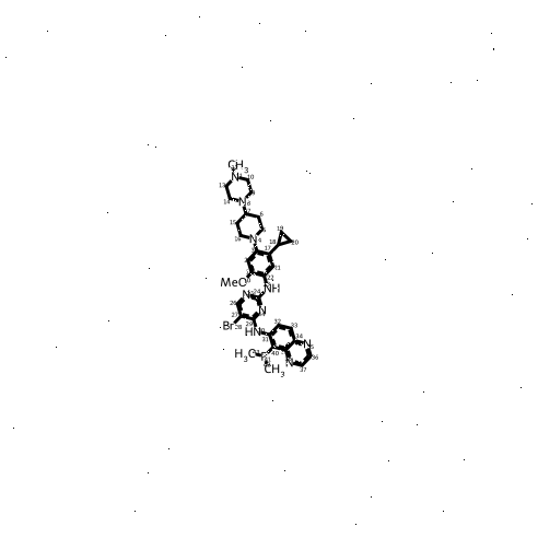 COc1cc(N2CCC(N3CCN(C)CC3)CC2)c(C2CC2)cc1Nc1ncc(Br)c(Nc2ccc3nccnc3c2P(C)C)n1